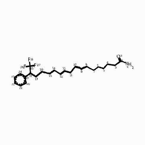 NC(=O)CCCCCCCCCCCCCCCC(c1ccccc1)C(F)(F)F